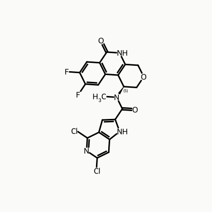 CN(C(=O)c1cc2c(Cl)nc(Cl)cc2[nH]1)[C@@H]1COCc2[nH]c(=O)c3cc(F)c(F)cc3c21